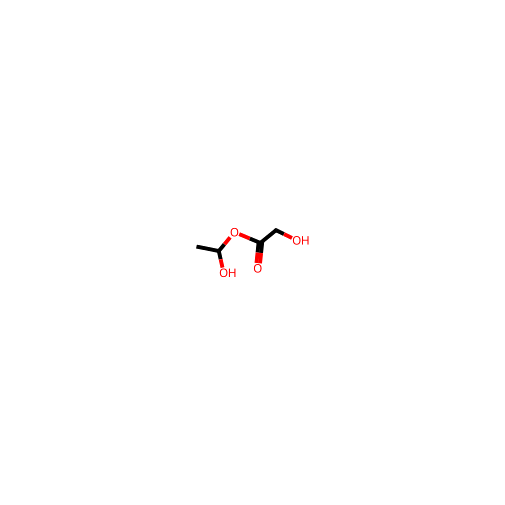 CC(O)OC(=O)CO